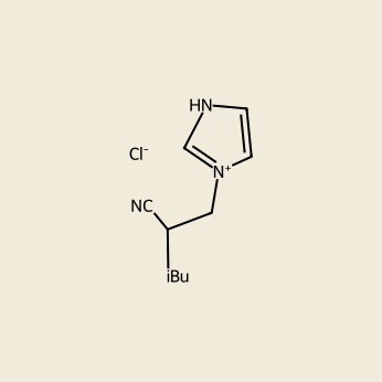 CCC(C)C(C#N)C[n+]1cc[nH]c1.[Cl-]